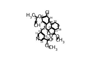 C#CC(C)Oc1cc(N(Cc2cncc(C(=O)OC)c2)C(=O)C2=C(C(=O)OC)CCCC2)c(F)cc1Cl